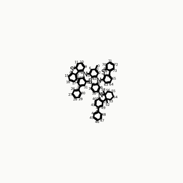 Cc1cc2c3c(c1)N(c1cccc4sc5ccccc5c14)c1ccc(-c4ccccc4)cc1B3c1ccc(N3c4ccc(-c5ccccc5)cc4C4(C)CCCCC34C)cc1N2c1cccc2c1sc1ccccc12